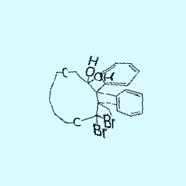 CC1(C)C(Br)(Br)CCCCCCCCC(O)(O)C1(c1ccccc1)c1ccccc1